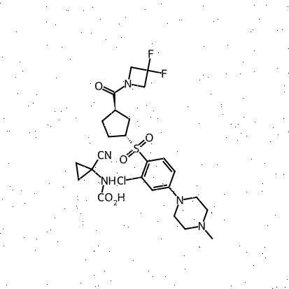 CN1CCN(c2ccc(S(=O)(=O)[C@@H]3CC[C@@H](C(=O)N4CC(F)(F)C4)C3)c(Cl)c2)CC1.N#CC1(NC(=O)O)CC1